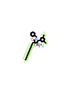 CC1=C(c2cc(C(F)(F)F)cc(C(F)(F)F)c2)N(Cc2ccccc2)C(=O)C1(C)CC(F)(F)C(F)(F)C(F)(F)C(F)(F)C(F)(F)C(F)(F)C(F)(F)C(F)(F)F